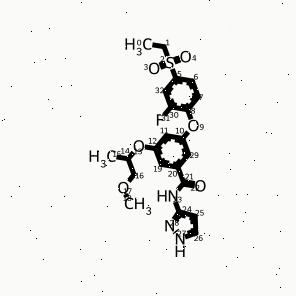 CCS(=O)(=O)c1ccc(Oc2cc(OC(C)COC)cc(C(=O)Nc3cc[nH]n3)c2)c(F)c1